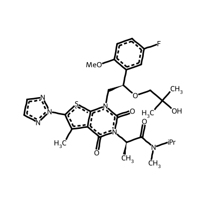 COc1ccc(F)cc1[C@H](Cn1c(=O)n([C@H](C)C(=O)N(C)C(C)C)c(=O)c2c(C)c(-n3nccn3)sc21)OCC(C)(C)O